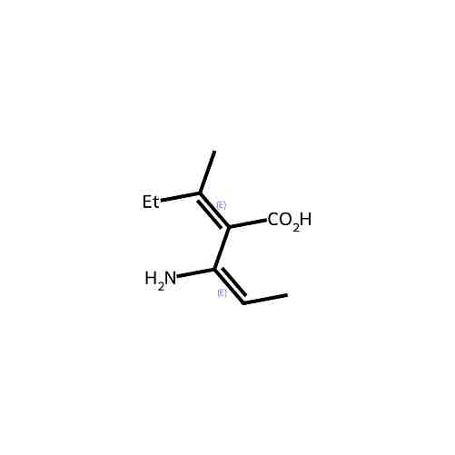 C/C=C(N)\C(C(=O)O)=C(\C)CC